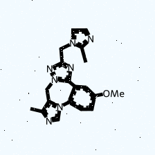 COc1ccc2c(c1)-c1nc(Cn3ccnc3C)nn1Cc1c(C)ncn1-2